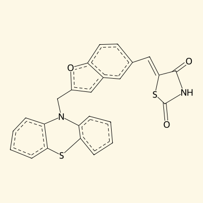 O=C1NC(=O)C(=Cc2ccc3oc(CN4c5ccccc5Sc5ccccc54)cc3c2)S1